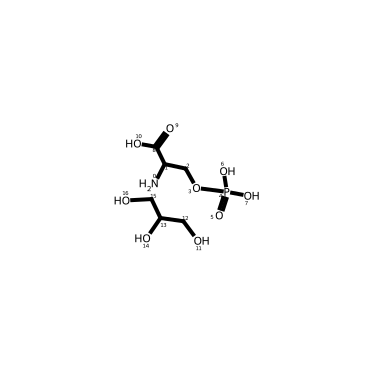 NC(COP(=O)(O)O)C(=O)O.OCC(O)CO